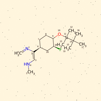 C=N/C(=C\NC)[C@H]1CCC(O[Si](C)(C)C(C)(C)C)[C@@H](F)C1